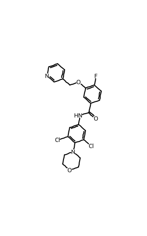 O=C(Nc1cc(Cl)c(N2CCOCC2)c(Cl)c1)c1ccc(F)c(OCc2cccnc2)c1